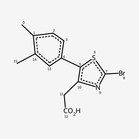 Cc1ccc(-c2sc(Br)nc2CC(=O)O)cc1C